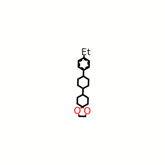 CCc1ccc(C2CCC(C3CCC4(CC3)OCCO4)CC2)cc1